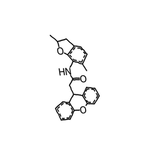 Cc1ccc2c(c1NC(=O)CC1c3ccccc3Oc3ccccc31)OC(C)C2